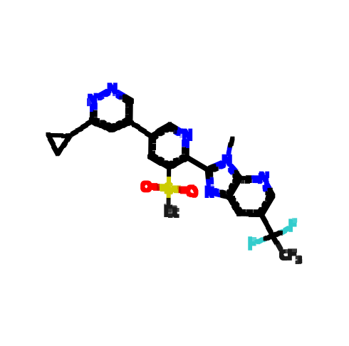 CCS(=O)(=O)c1cc(-c2cnnc(C3CC3)c2)cnc1-c1nc2cc(C(F)(F)C(F)(F)F)cnc2n1C